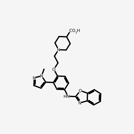 Cn1nccc1-c1cc(Nc2nc3ccccc3o2)ccc1OCCN1CCC(C(=O)O)CC1